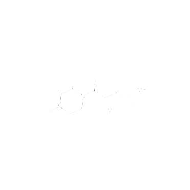 CCN1CCN(C(O)CC[Si](C)(OC)OC)CC1